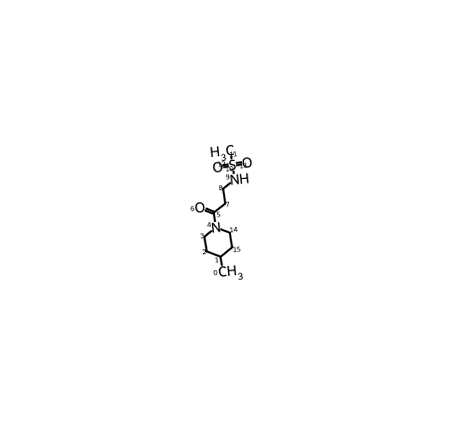 CC1CCN(C(=O)CCNS(C)(=O)=O)CC1